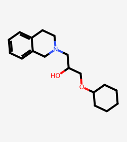 OC(COC1CCCCC1)CN1CCc2ccccc2C1